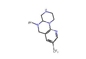 CC(C)N1Cc2cc(C(F)(F)F)cnc2N2CCNCC21